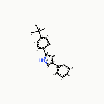 CC(C)(C)c1ccc(-c2cc(-c3ccccc3)c[nH]2)cc1